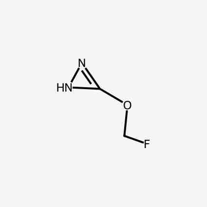 FCOC1=NN1